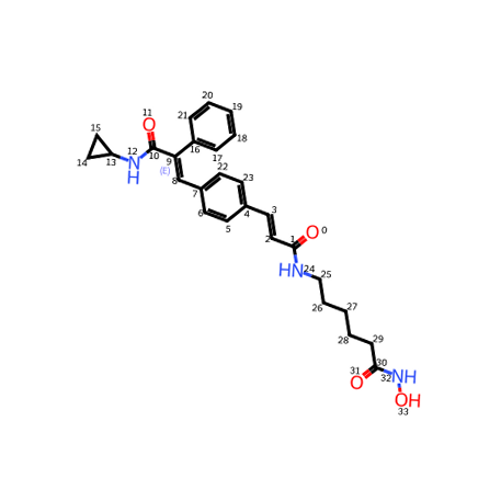 O=C(C=Cc1ccc(/C=C(/C(=O)NC2CC2)c2ccccc2)cc1)NCCCCCC(=O)NO